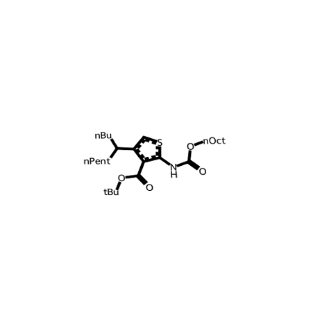 CCCCCCCCOC(=O)Nc1scc(C(CCCC)CCCCC)c1C(=O)OC(C)(C)C